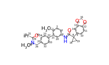 Cc1ccc(NC(=O)C2(c3ccc4c(c3)OCO4)CC2)cc1-c1ccc(CN(C)C(=O)C(C)C)cc1